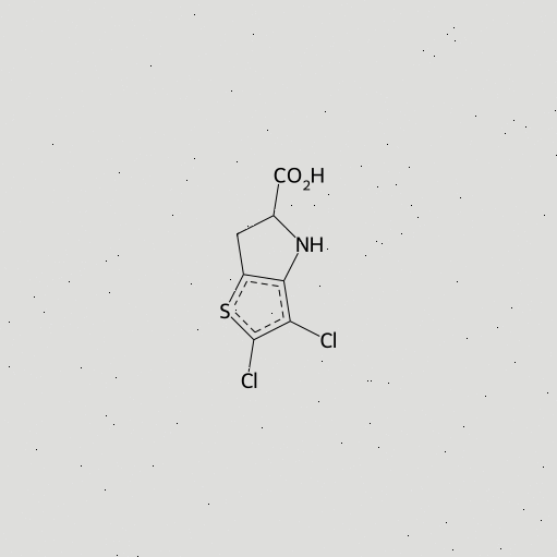 O=C(O)C1Cc2sc(Cl)c(Cl)c2N1